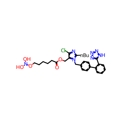 CCCCc1nc(Cl)c(COC(=O)CCCCCON(O)O)n1Cc1ccc(-c2ccccc2-c2nnn[nH]2)cc1